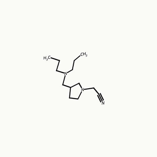 CCCN(CCC)CC1CCN(CC#N)C1